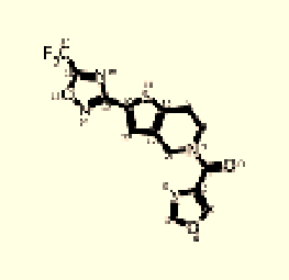 O=C(c1cocn1)N1CCc2sc(-c3noc(C(F)(F)F)n3)cc2C1